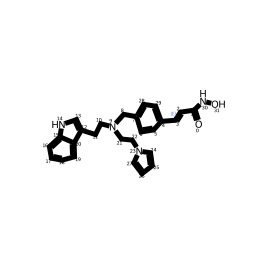 O=C(/C=C/c1ccc(CN(CCc2c[nH]c3ccccc23)CCn2cccc2)cc1)NO